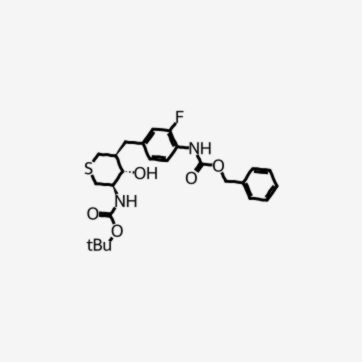 CC(C)(C)OC(=O)N[C@H]1CSC[C@@H](Cc2ccc(NC(=O)OCc3ccccc3)c(F)c2)[C@@H]1O